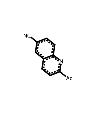 CC(=O)c1ccc2cc(C#N)ccc2n1